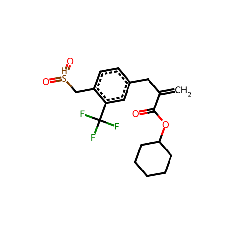 C=C(Cc1ccc(C[SH](=O)=O)c(C(F)(F)F)c1)C(=O)OC1CCCCC1